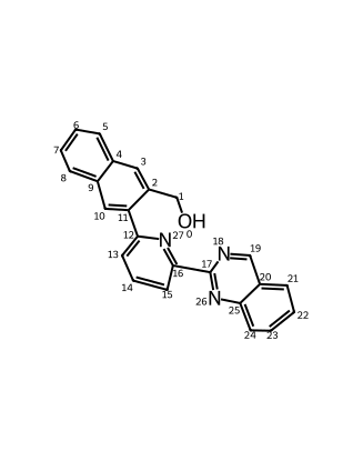 OCc1cc2ccccc2cc1-c1cccc(-c2ncc3ccccc3n2)n1